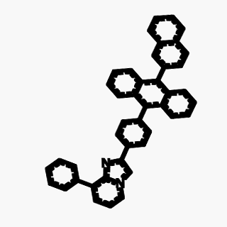 c1ccc(-c2cccn3cc(-c4ccc(-c5c6ccccc6c(-c6ccc7ccccc7c6)c6ccccc56)cc4)nc23)cc1